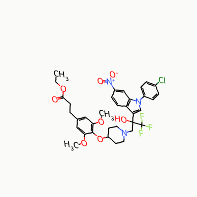 CCOC(=O)CCc1cc(OC)c(OC2CCN(CC(O)(c3cn(-c4ccc(Cl)cc4)c4cc([N+](=O)[O-])ccc34)C(F)(F)F)CC2)c(OC)c1